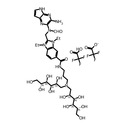 CCn1c(CN(C=O)c2nc3cc[nH]c3nc2N)[n+](CC)c2ccc(C(=O)NCCCN(C[C@H](O)[C@@H](O)[C@H](O)[C@H](O)CO)C[C@H](O)[C@@H](O)[C@H](O)[C@H](O)CO)cc21.O=C(O)C(F)(F)F.O=C([O-])C(F)(F)F